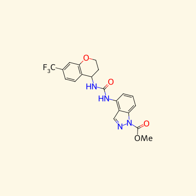 COC(=O)n1ncc2c(NC(=O)NC3CCOc4cc(C(F)(F)F)ccc43)cccc21